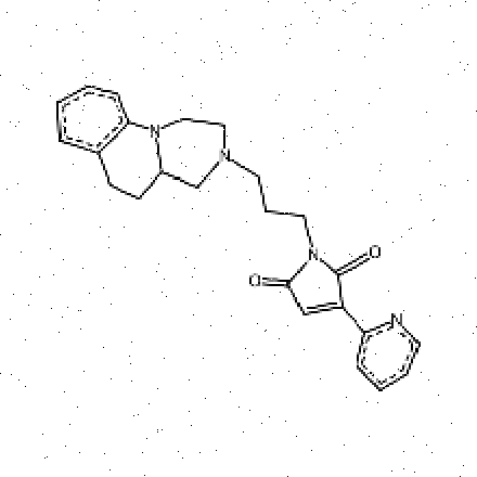 O=C1C=C(c2ccccn2)C(=O)N1CCCN1CCN2c3ccccc3CCC2C1